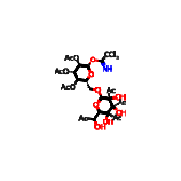 CC(=O)O[C@@H]1[C@@H](OC(C)=O)[C@H](OC(=N)C(Cl)(Cl)Cl)O[C@H](CO[C@@H]2O[C@H](C(O)C(C)=O)[C@](O)(C(C)=O)[C@@](O)(C(C)=O)[C@]2(O)C(C)=O)[C@H]1OC(C)=O